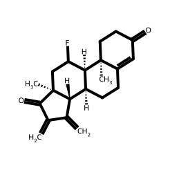 C=C1C(=C)[C@H]2[C@@H]3CCC4=CC(=O)CC[C@]4(C)[C@@H]3C(F)C[C@]2(C)C1=O